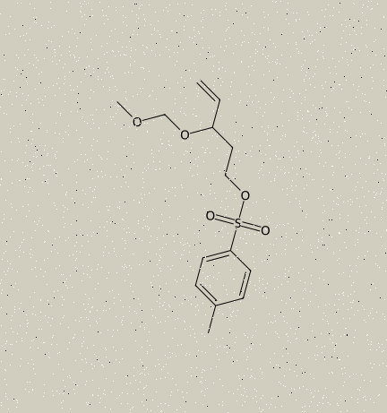 C=CC(CCOS(=O)(=O)c1ccc(C)cc1)OCOC